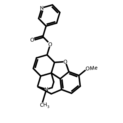 COc1ccc2c3c1OC1C(OC(=O)c4cccnc4)C=CC4C(C2)N(C)CCC341